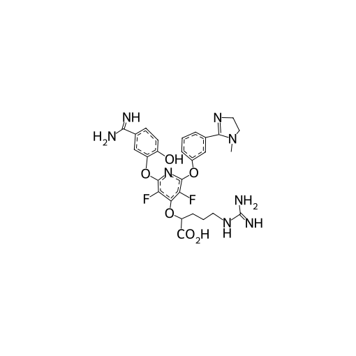 CN1CCN=C1c1cccc(Oc2nc(Oc3cc(C(=N)N)ccc3O)c(F)c(OC(CCCNC(=N)N)C(=O)O)c2F)c1